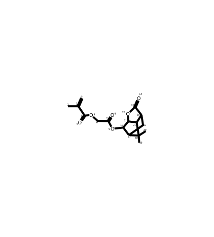 C=C(C)C(=O)OCC(=O)OC1C2OC(=O)C3CC1C(C)(C)C32